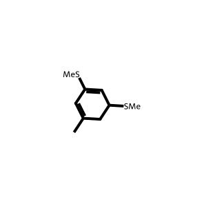 CSC1=CC(SC)CC(C)=C1